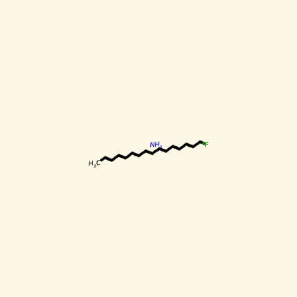 CCCCCCCCCCCCCCCCF.N